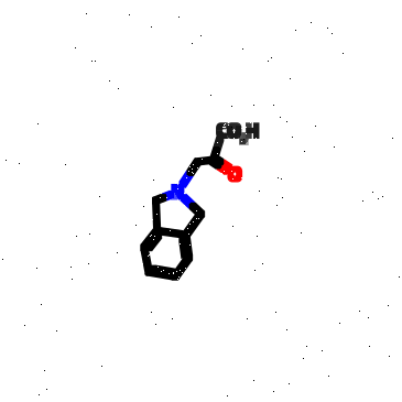 O=C(O)C(=O)CN1Cc2ccccc2C1